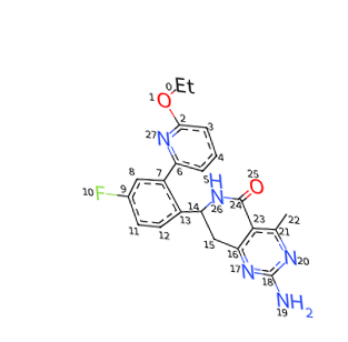 CCOc1cccc(-c2cc(F)ccc2C2Cc3nc(N)nc(C)c3C(=O)N2)n1